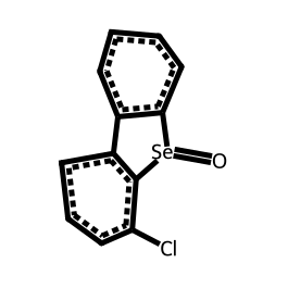 O=[Se]1c2ccccc2-c2cccc(Cl)c21